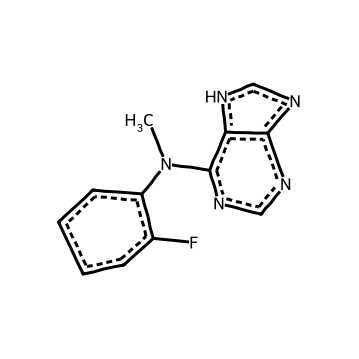 CN(c1ccccc1F)c1ncnc2nc[nH]c12